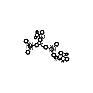 CC1(C)c2ccccc2C2(c3ccccc3-c3ccccc32)c2cc3c(cc21)sc1ccc(-c2nc(-c4ccccc4)nc(-c4ccc(CC5(C)c6ccc(-c7nc(-c8ccccc8)nc(-c8ccccc8)n7)cc6-c6cc7c(cc65)Oc5ccccc5C75c6ccccc6-c6ccccc65)cc4)n2)cc13